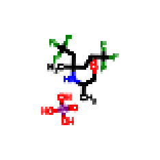 CC(CO)NC(C)(CCC(F)(F)F)CC(F)(F)F.O=P(O)(O)O